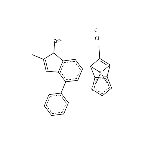 CC1=C2c3ccsc3C1[Si]2(C)C.CC1=Cc2c(-c3ccccc3)cccc2[CH]1[Zr+2].[Cl-].[Cl-]